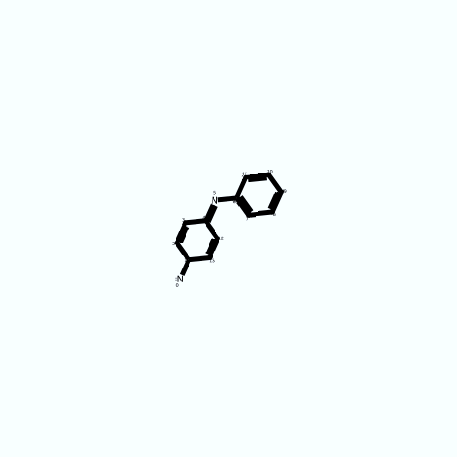 [N]C1C=CC(=Nc2ccccc2)C=C1